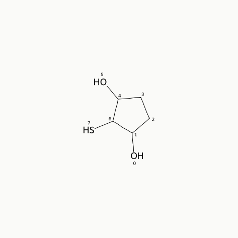 OC1CCC(O)C1S